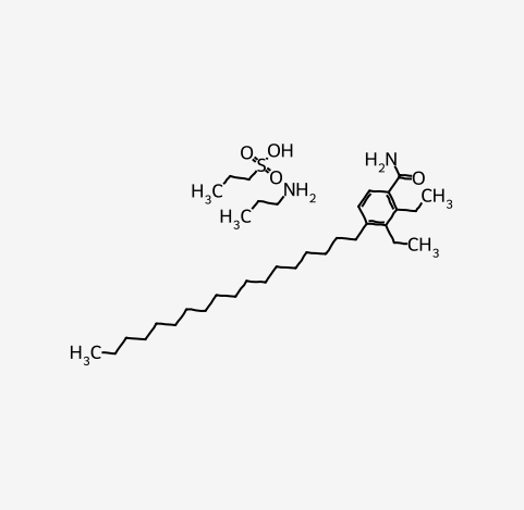 CCCCCCCCCCCCCCCCCCc1ccc(C(N)=O)c(CC)c1CC.CCCN.CCCS(=O)(=O)O